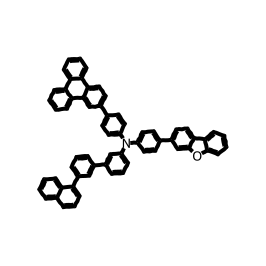 c1cc(-c2cccc(N(c3ccc(-c4ccc5c(c4)oc4ccccc45)cc3)c3ccc(-c4ccc5c6ccccc6c6ccccc6c5c4)cc3)c2)cc(-c2cccc3ccccc23)c1